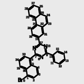 Brc1cccc2c(-c3nc(-c4ccccc4)nc(-c4ccc5c(ccc6ccccc65)c4)n3)cccc12